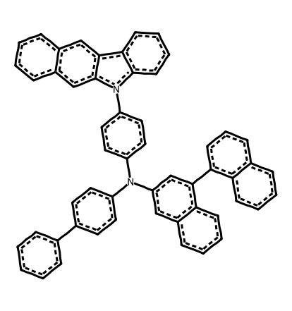 c1ccc(-c2ccc(N(c3ccc(-n4c5ccccc5c5cc6ccccc6cc54)cc3)c3cc(-c4cccc5ccccc45)c4ccccc4c3)cc2)cc1